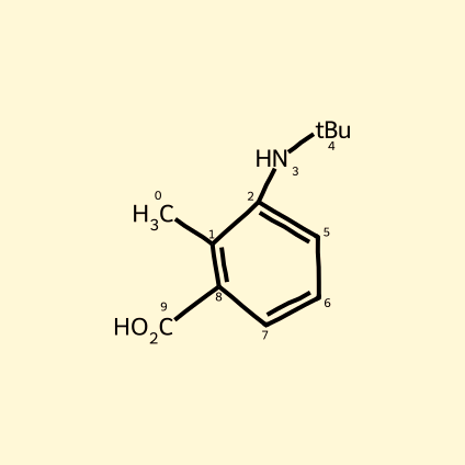 Cc1c(NC(C)(C)C)cccc1C(=O)O